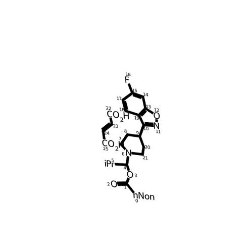 CCCCCCCCCC(=O)OC(C(C)C)N1CCC(c2noc3cc(F)ccc23)CC1.O=C(O)C=CC(=O)O